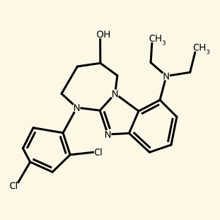 CCN(CC)c1cccc2nc3n(c12)CC(O)CCN3c1ccc(Cl)cc1Cl